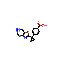 O=C(O)c1ccc(C2(c3nc4c(s3)CNCC4)CC2)cc1